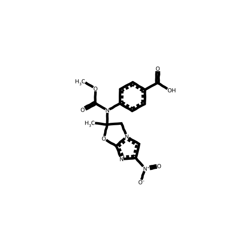 COC(=O)N(c1ccc(C(=O)O)cc1)C1(C)Cn2cc([N+](=O)[O-])nc2O1